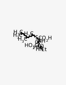 CCNC(=O)N[C@H](CC(=O)N[C@@H](CSCC=C(C)CCC=C(C)CCC=C(C)C)C(=O)O)C(=O)O